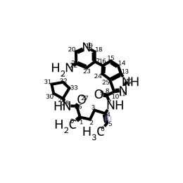 C=C(CC/C(=C\C)NC(=O)c1n[nH]c2ccc(-c3cncc(N)c3)cc12)C(=O)NC1CCCC1